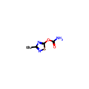 CC(C)(C)c1nsc(OC(N)=O)n1